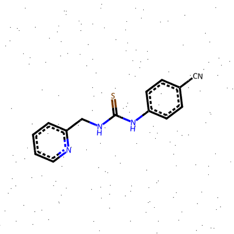 N#Cc1ccc(NC(=S)NCc2ccccn2)cc1